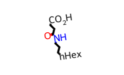 CCCCCCCCCNC(=O)CCC(=O)O